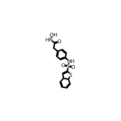 O=C(Cc1ccc(NS(=O)(=O)C2=CC3C=CC=CC3S2)cc1)NO